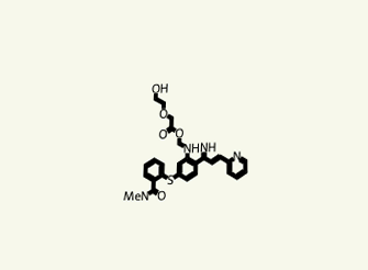 CNC(=O)c1ccccc1Sc1ccc(C(=N)/C=C/c2ccccn2)c(NCOC(=O)COCCO)c1